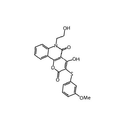 COc1cccc(Sc2c(O)c3c(=O)n(CCO)c4ccccc4c3oc2=O)c1